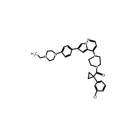 CCN1CCN(c2ccc(-c3cc4c(N5CCN(C(=O)C6(c7cccc(Cl)c7)CC6)CC5)ccnn4c3)cc2)CC1